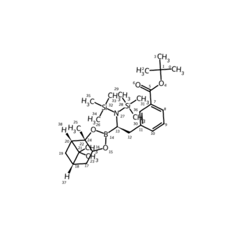 CC(C)(C)OC(=O)c1cccc(C[C@@H](B2OC3C[C@@H]4C[C@@H](C4(C)C)[C@]3(C)O2)N([Si](C)(C)C)[Si](C)(C)C)c1